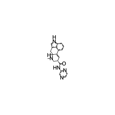 CN1C[C@H](C(=O)Nc2cnccn2)C=C2c3cccc4[nH]cc(c34)C[C@H]21